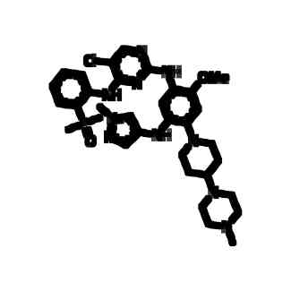 COc1cc(N2CCC(N3CCN(C)CC3)CC2)c(Nc2cnn(C)c2)cc1Nc1ncc(Cl)c(Nc2ccccc2P(C)(C)=O)n1